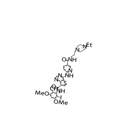 CCN1CCN(CCCNC(=O)c2ccc(Nc3ncnc4c(C(=O)Nc5c(C)c(OC)cc(OC)c5I)csc34)nc2)CC1